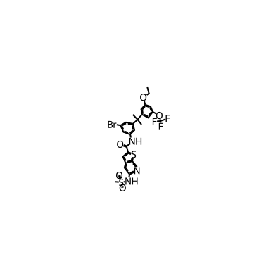 CCOc1cc(OC(F)(F)F)cc(C(C)(C)c2cc(Br)cc(NC(=O)c3cc4cc(NS(C)(=O)=O)ncc4s3)c2)c1